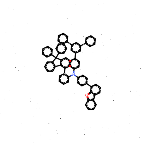 c1ccc(-c2cc(-c3ccccc3)cc(-c3ccc(N(c4ccc(-c5cccc6c5oc5ccccc56)cc4)c4ccccc4-c4cccc5c4-c4ccccc4C5(c4ccccc4)c4ccccc4)cc3)c2)cc1